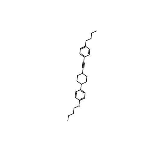 CCCCOc1ccc(C2CCC(C#Cc3ccc(CCCC)cc3)CC2)cc1